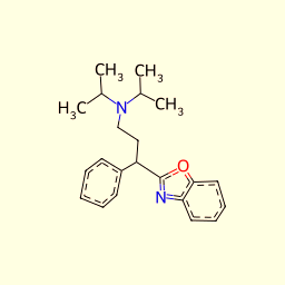 CC(C)N(CCC(c1ccccc1)c1nc2ccccc2o1)C(C)C